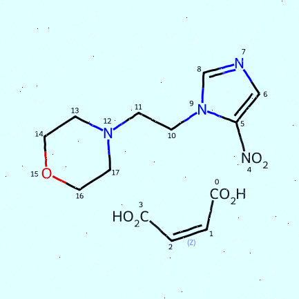 O=C(O)/C=C\C(=O)O.O=[N+]([O-])c1cncn1CCN1CCOCC1